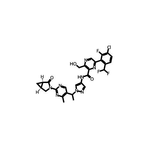 Cc1nc(N2C[C@H]3C[C@H]3C2=O)ncc1C(C)n1cc(NC(=O)c2nc(-c3c(C(F)F)ccc(Cl)c3F)cnc2CO)cn1